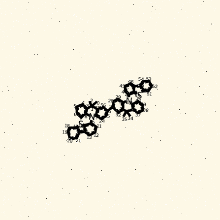 CC1(C)c2ccccc2N(c2cccc3c2sc2ccccc23)c2ccc(-c3ccc4c(c3)C(C)(C)c3ccccc3N4c3cccc4c3sc3ccccc34)cc21